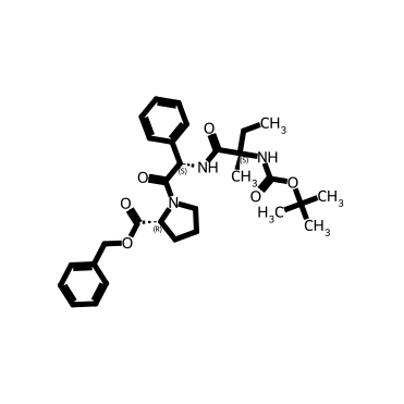 CC[C@](C)(NC(=O)OC(C)(C)C)C(=O)N[C@H](C(=O)N1CCC[C@@H]1C(=O)OCc1ccccc1)c1ccccc1